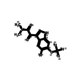 [2H]c1cc2c(C(=O)C(=O)N(C)C)c[nH]c2cc1OC([2H])([2H])[2H]